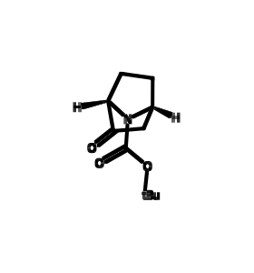 CC(C)(C)OC(=O)N1[C@@H]2CC[C@H]1C(=O)C2